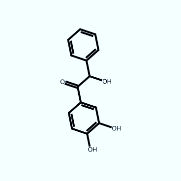 O=C(c1ccc(O)c(O)c1)C(O)c1ccccc1